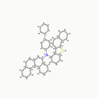 c1ccc(-c2ccc(N(c3cc4ccc5ccccc5c4c4ccccc34)c3cccc4sc5c6ccccc6ccc5c34)cc2)cc1